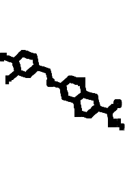 NC(=O)c1cnc2cc(OCc3ccc(F)c(F)c3)cnc2c1